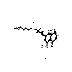 COc1cc(CCC(C)(C)COCCCCCO)c(OC)c2c1C(=O)C=CC2=O